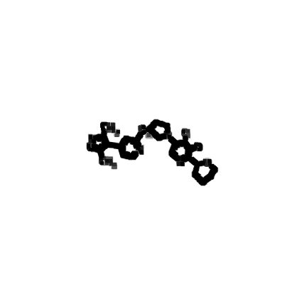 Cc1noc(C)c1-c1ccnc(O[C@@H]2CCN(c3cnn(C4CCCCO4)c(=O)c3Cl)C2)c1